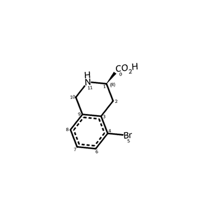 O=C(O)[C@H]1Cc2c(Br)cccc2CN1